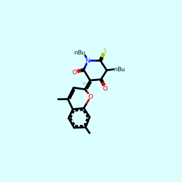 CCCCC1C(=O)/C(=C2/C=C(C)c3ccc(C)cc3O2)C(=O)N(CCCC)C1=S